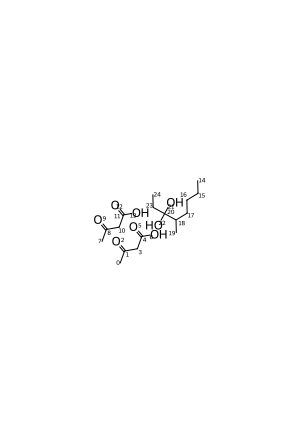 CC(=O)CC(=O)O.CC(=O)CC(=O)O.CCCCC(C)C(O)(O)CC